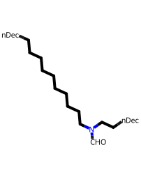 CCCCCCCCCCCCCCCCCCCCN(C=O)CCCCCCCCCCCC